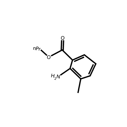 CCCOC(=O)c1cccc(C)c1N